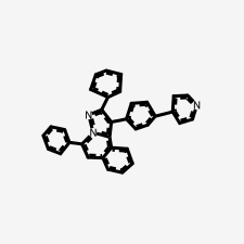 c1ccc(-c2nn3c(-c4ccccc4)cc4ccccc4c3c2-c2ccc(-c3ccncc3)cc2)cc1